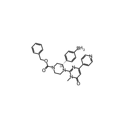 Bc1ccc([C@H]2CN(C(=O)OCc3ccccc3)CCN2c2nc(-c3ccncc3)cc(=O)n2C)cc1